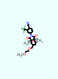 COCCOCC1=C[C@@]2(C)O[C@]1(C)[C@@H]1C(=O)N(c3ccc(C#N)c(C(F)(F)F)c3)C(=O)[C@@H]12